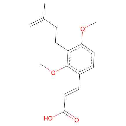 C=C(C)CCc1c(OC)ccc(C=CC(=O)O)c1OC